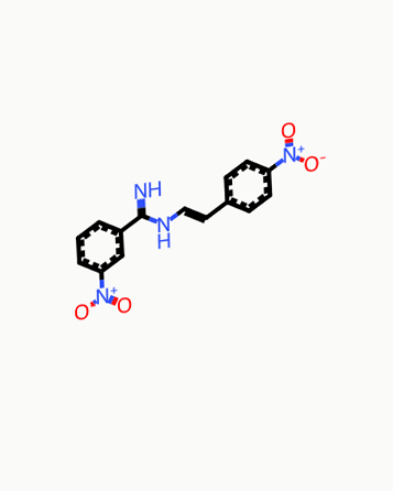 N=C(NC=Cc1ccc([N+](=O)[O-])cc1)c1cccc([N+](=O)[O-])c1